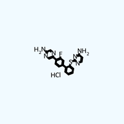 Cl.Nc1cnc(-c2ccc(-c3ccccc3Sc3nccc(N)n3)cc2F)cn1